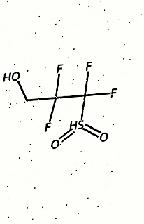 O=[SH](=O)C(F)(F)C(F)(F)CO